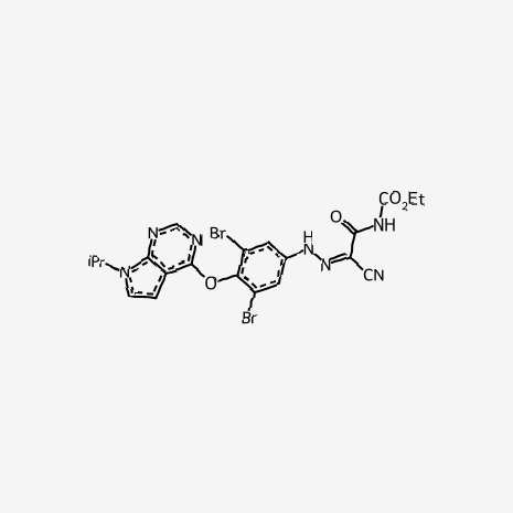 CCOC(=O)NC(=O)C(C#N)=NNc1cc(Br)c(Oc2ncnc3c2ccn3C(C)C)c(Br)c1